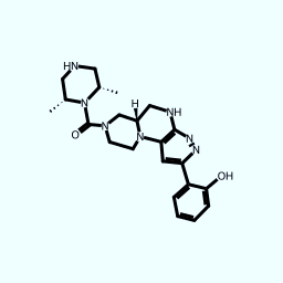 C[C@@H]1CNC[C@H](C)N1C(=O)N1CCN2c3cc(-c4ccccc4O)nnc3NC[C@H]2C1